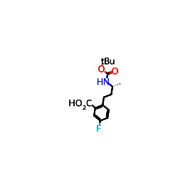 C[C@H](CCc1ccc(F)cc1C(=O)O)NC(=O)OC(C)(C)C